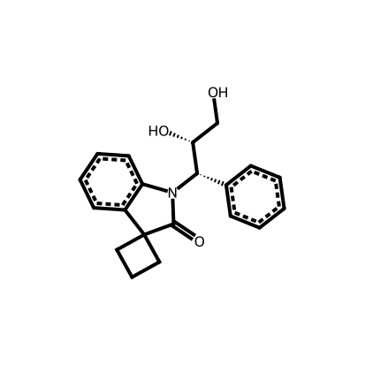 O=C1N([C@@H](c2ccccc2)[C@H](O)CO)c2ccccc2C12CCC2